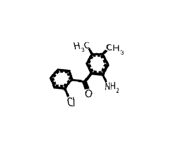 Cc1cc(N)c(C(=O)c2ccccc2Cl)cc1C